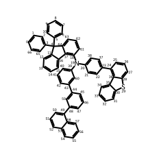 c1ccc(C2(c3ccccc3)c3ccccc3-c3c(N(c4ccc(-c5cccc6sc7ccccc7c56)cc4)c4cccc(-c5cccc(-c6cccc7ccccc67)c5)c4)cccc32)cc1